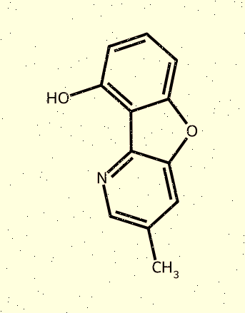 Cc1cnc2c(c1)oc1cccc(O)c12